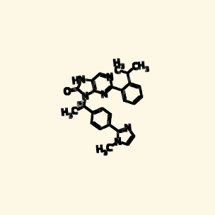 CC(C)c1ccccc1-c1ncc2[nH]c(=O)n([C@H](C)c3ccc(-c4nccn4C)cc3)c2n1